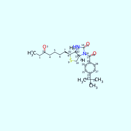 CCC(=O)CCCC[C@@H]1SC[C@H]2[C@@H]1NC(=O)N2C(=O)c1ccc(C(C)(C)C)cc1